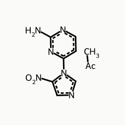 CC(C)=O.Nc1nccc(-n2cncc2[N+](=O)[O-])n1